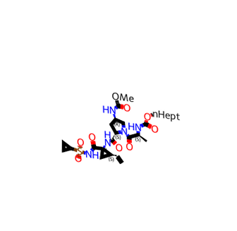 C=C[C@@H]1C[C@]1(NC(=O)[C@@H]1C[C@@H](NC(=O)OC)CN1C(=O)[C@H](C)NC(=O)OCCCCCCC)C(=O)NS(=O)(=O)C1CC1